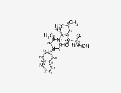 CC(C)C[C@H](C(=O)N1CCN(c2ccc3ncccc3c2)C[C@H]1C)[C@H](O)C(=O)NO